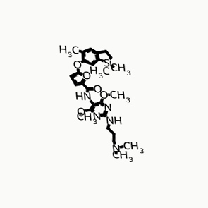 COc1nc(NCCCN(C)C)nc(OC)c1NC(=O)c1ccc(Oc2cc3c(cc2C)CC[Si]3(C)C)o1